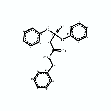 O=C(CP(=O)(Oc1ccccc1)Oc1ccccc1)OCc1ccccc1